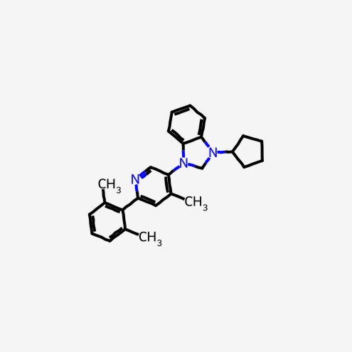 Cc1cc(-c2c(C)cccc2C)ncc1N1CN(C2CCCC2)c2ccccc21